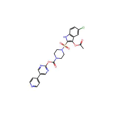 CC(=O)Oc1c(S(=O)(=O)N2CCN(C(=O)Oc3ncc(-c4ccncc4)cn3)CC2)[nH]c2ccc(Cl)cc12